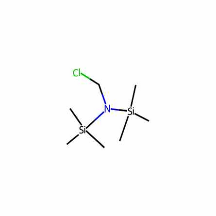 C[Si](C)(C)N(CCl)[Si](C)(C)C